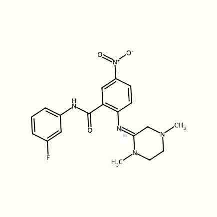 CN1CCN(C)/C(=N/c2ccc([N+](=O)[O-])cc2C(=O)Nc2cccc(F)c2)C1